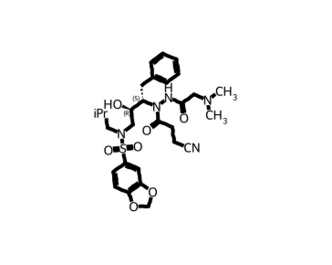 CC(C)CN(C[C@@H](O)[C@H](Cc1ccccc1)N(NC(=O)CN(C)C)C(=O)CCC#N)S(=O)(=O)c1ccc2c(c1)OCO2